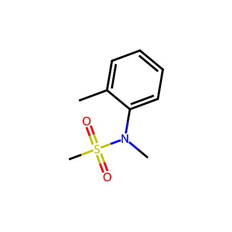 Cc1ccccc1N(C)S(C)(=O)=O